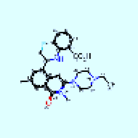 Cc1cc(C(CF)Nc2ccccc2C(=O)O)c2cc(N3CCN(CC(F)(F)F)CC3)n(C)c(=O)c2c1